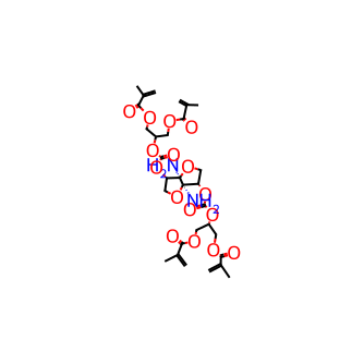 C=C(C)C(=O)OCC(COC(=O)C(=C)C)OC(=O)O[C@H]1CO[C@]2(N)[C@H](OC(=O)OC(COC(=O)C(=C)C)COC(=O)C(=C)C)CO[C@]12N